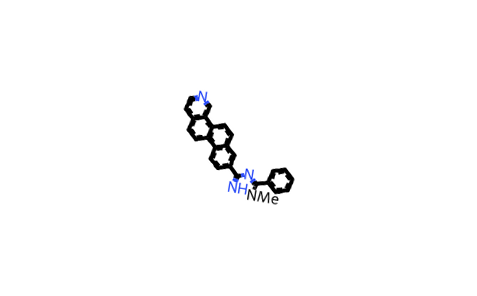 CN/C(=N\C(=N)c1ccc2c(ccc3c4cnccc4ccc23)c1)c1ccccc1